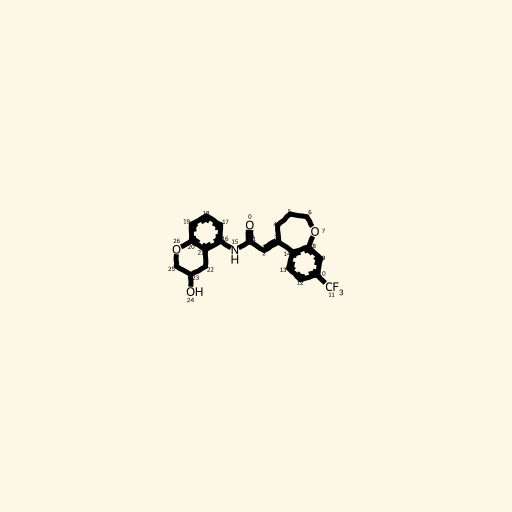 O=C(/C=C1\CCCOc2cc(C(F)(F)F)ccc21)Nc1cccc2c1CC(O)CO2